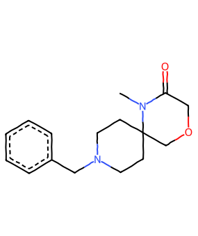 CN1C(=O)COCC12CCN(Cc1ccccc1)CC2